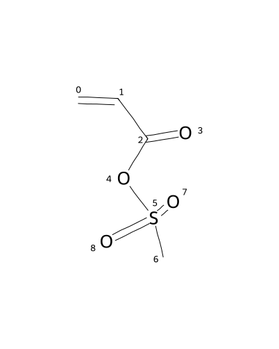 C=CC(=O)OS(C)(=O)=O